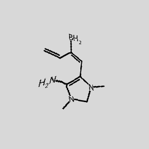 B/C(C=C)=C/C1=C(N)N(C)CN1C